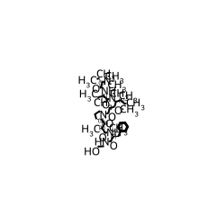 CC[C@H](C)C(C(CC(=O)N1CCC[C@H]1[C@H](OC)[C@@H](C)C(=O)N[C@@H](Cc1ccccc1)C(=O)NCCO)OC)N(C)C(=O)[C@@H](NC(=O)[C@H](C(C)C)N(C)C)C(C)C